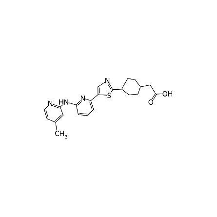 Cc1ccnc(Nc2cccc(-c3cnc(C4CCC(CC(=O)O)CC4)s3)n2)c1